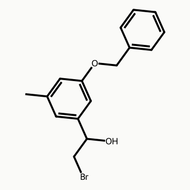 Cc1cc(OCc2ccccc2)cc(C(O)CBr)c1